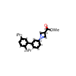 CCCc1ccc(C(C)C)cc1-c1cccc(N2CC(C(=O)OC)C2)c1